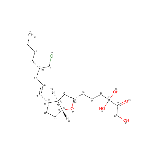 CCCC[C@H](CCl)CC=C[C@H]1CC[C@H]2O[C@@H](CCCC(O)(O)C(=O)CO)C[C@H]12